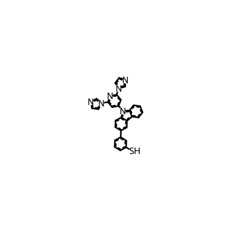 Sc1cccc(-c2ccc3c(c2)c2ccccc2n3-c2cc(-n3ccnc3)nc(-n3ccnc3)c2)c1